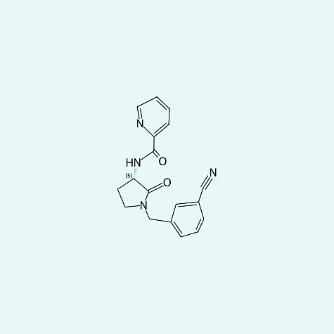 N#Cc1cccc(CN2CC[C@H](NC(=O)c3ccccn3)C2=O)c1